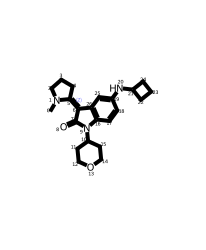 CN1CCC/C1=C1/C(=O)N(C2CCOCC2)c2ccc(NC3CCC3)cc21